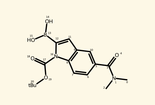 CN(C)C(=O)c1ccc2c(c1)cc(B(O)O)n2C(=O)OC(C)(C)C